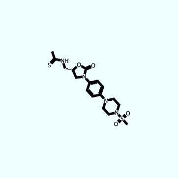 CC(=S)NC[C@H]1CN(c2ccc(N3CCN(S(C)(=O)=O)CC3)cc2)C(=O)O1